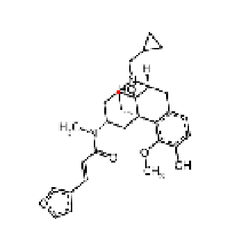 COc1c(O)ccc2c1[C@]13CCN(CC4CC4)[C@H](C2)[C@]1(O)CC[C@@H](N(C)C(=O)/C=C/c1ccoc1)C3